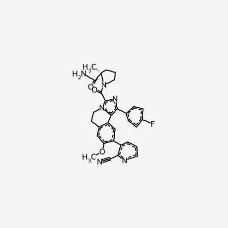 COc1cc2c(cc1-c1cccnc1C#N)-c1c(-c3ccc(F)cc3)nc(C(=O)N3CCC[C@]3(C)C(N)=O)n1CC2